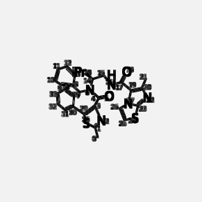 Cc1nc(C(=O)N(Cc2ccccc2)[C@H](CNC(=O)c2c(C)nc3sccn23)C(C)C)c(-c2ccccc2)s1